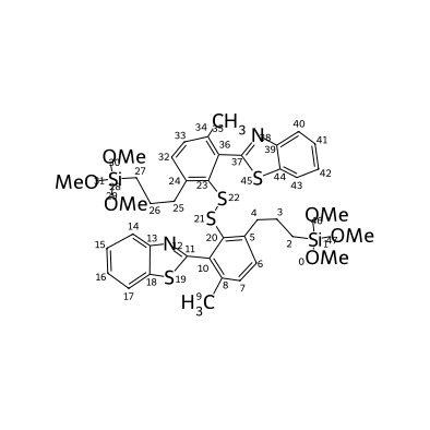 CO[Si](CCCc1ccc(C)c(-c2nc3ccccc3s2)c1SSc1c(CCC[Si](OC)(OC)OC)ccc(C)c1-c1nc2ccccc2s1)(OC)OC